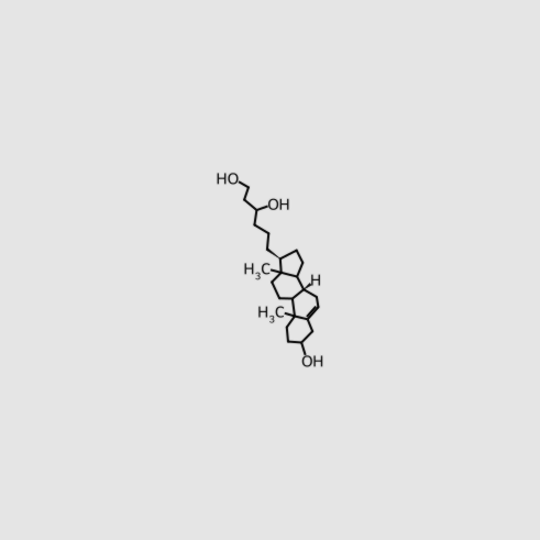 CC12CCC(O)CC1=CC[C@@H]1C2CCC2(C)C1CC[C@@H]2CCCC(O)CCO